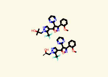 COc1ccccc1-c1noc(-c2cnn(CC(C)(C)O)c2C(F)(F)F)c1-c1ncccn1.COc1ccccc1-c1noc(-c2cnn(C[C@@H](C)O)c2C(F)(F)F)c1-c1ncccn1